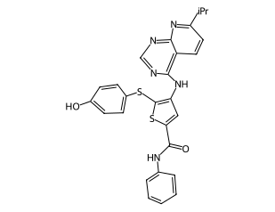 CC(C)c1ccc2c(Nc3cc(C(=O)Nc4ccccc4)sc3Sc3ccc(O)cc3)ncnc2n1